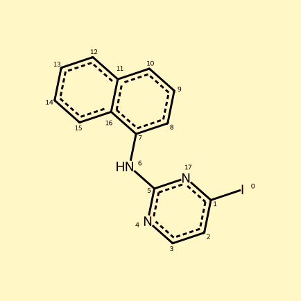 Ic1ccnc(Nc2cccc3ccccc23)n1